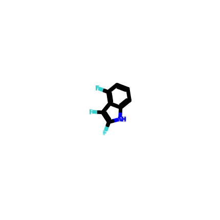 Fc1[nH]c2cccc(F)c2c1F